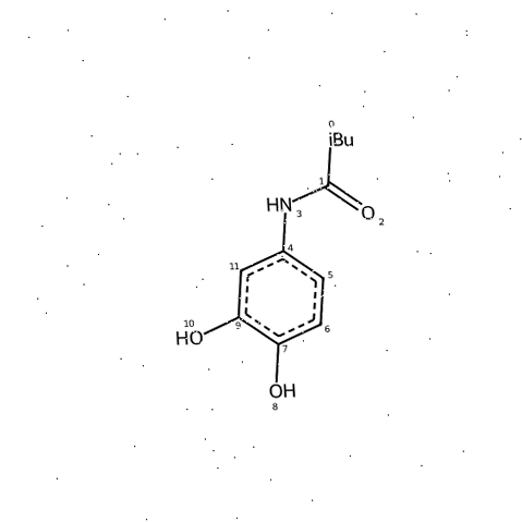 CCC(C)C(=O)Nc1ccc(O)c(O)c1